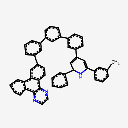 Cc1cccc(C2=CC(c3cccc(-c4cccc(-c5cccc(-c6ccc7c(c6)c6ccccc6c6nccnc76)c5)c4)c3)=CC(c3ccccc3)N2)c1